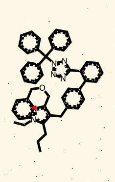 CCCc1c(Cc2ccc(-c3ccccc3-c3nnn(C(c4ccccc4)(c4ccccc4)c4ccccc4)n3)cc2)c(COCc2ccccc2)nn1CC